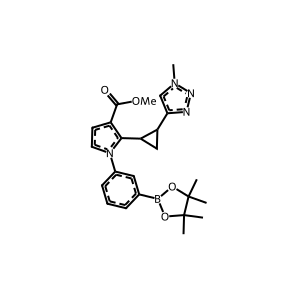 COC(=O)c1ccn(-c2cccc(B3OC(C)(C)C(C)(C)O3)c2)c1C1CC1c1cn(C)nn1